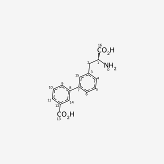 N[C@@H](Cc1cccc(-c2cccc(C(=O)O)c2)c1)C(=O)O